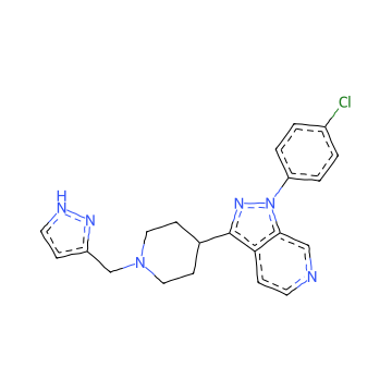 Clc1ccc(-n2nc(C3CCN(Cc4cc[nH]n4)CC3)c3ccncc32)cc1